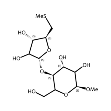 CO[C@H]1OC(CO)[C@@H](O[C@H]2O[C@H](CSC)[C@@H](O)C2O)[C@H](O)C1O